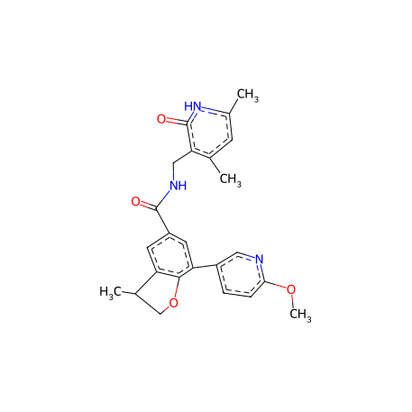 COc1ccc(-c2cc(C(=O)NCc3c(C)cc(C)[nH]c3=O)cc3c2OCC3C)cn1